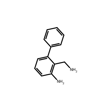 NCc1c(N)cccc1-c1ccccc1